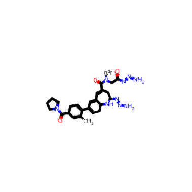 CCCN(CC(=O)N=NN)C(=O)C1=CC2=CC(C3=CCC(C(=O)N4CCCC4)C=C3C)=CCC2NC(N=NN)C1